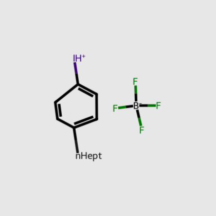 CCCCCCCc1ccc([IH+])cc1.F[B-](F)(F)F